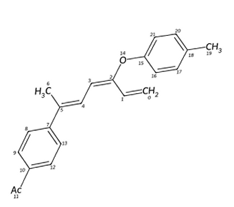 C=C/C(=C\C=C(/C)c1ccc(C(C)=O)cc1)Oc1ccc(C)cc1